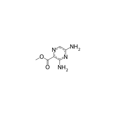 COC(=O)c1ncc(N)nc1N